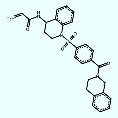 C=CC(=O)NC1CCN(S(=O)(=O)c2ccc(C(=O)N3CCc4ccccc4C3)cc2)c2ccccc21